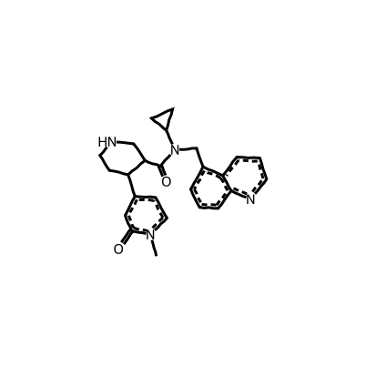 Cn1ccc(C2CCNCC2C(=O)N(Cc2cccc3ncccc23)C2CC2)cc1=O